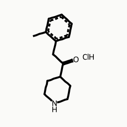 Cc1ccccc1CC(=O)C1CCNCC1.Cl